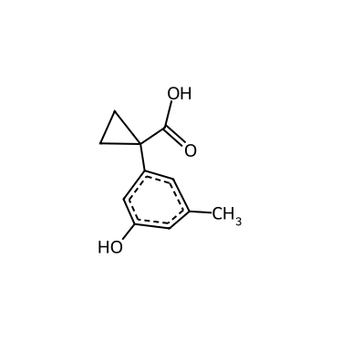 Cc1cc(O)cc(C2(C(=O)O)CC2)c1